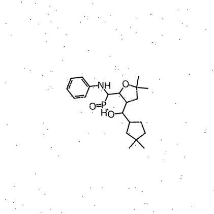 CC1(C)CCC(C2O[PH](=O)C(Nc3ccccc3)C3OC(C)(C)CC23)C1